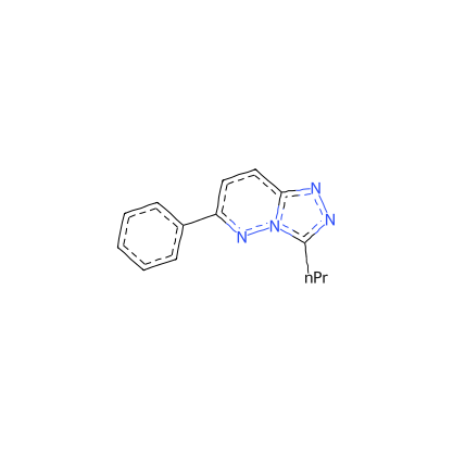 CCCc1nnc2ccc(-c3ccccc3)nn12